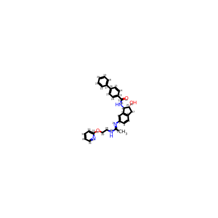 C/C(=N\c1ccc2c(c1)[C@@H](NC(=O)c1ccc(-c3ccccc3)cc1)[C@H](O)C2)NCCOc1ccccn1